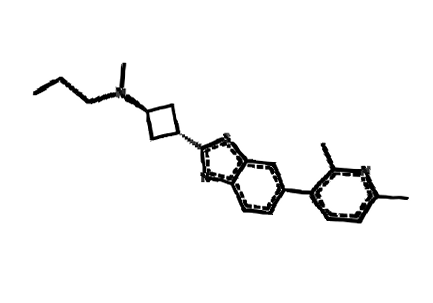 CCCN(C)[C@H]1C[C@H](c2nc3ccc(-c4ccc(C)nc4C)cc3s2)C1